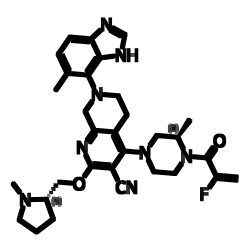 C=C(F)C(=O)N1CCN(c2c(C#N)c(OC[C@@H]3CCCN3C)nc3c2CCN(c2c(C)ccc4nc[nH]c24)C3)C[C@H]1C